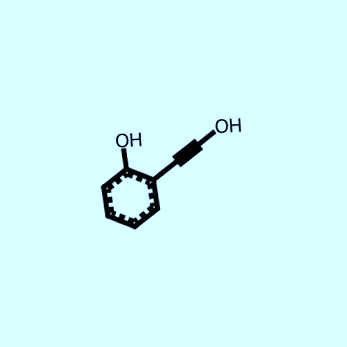 OC#Cc1ccccc1O